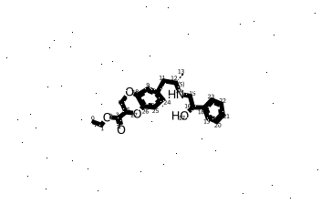 CCOC(=O)C1COc2cc(C[C@H](C)NCC(O)c3ccccc3)ccc2O1